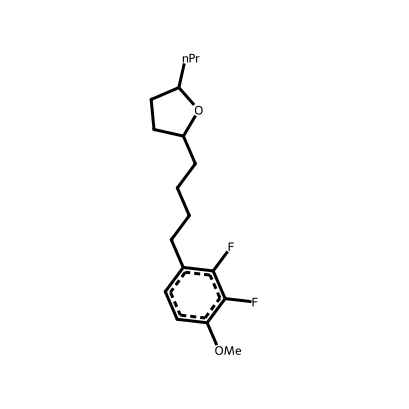 CCCC1CCC(CCCCc2ccc(OC)c(F)c2F)O1